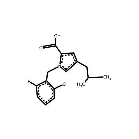 CC(C)Cc1cc(C(=O)O)n(Cc2c(F)cccc2Cl)c1